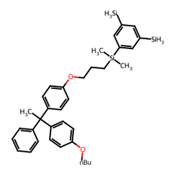 CCCCOc1ccc(C(C)(c2ccccc2)c2ccc(OCCC[Si](C)(C)c3cc([SiH3])cc([SiH3])c3)cc2)cc1